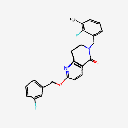 Cc1cccc(CN2CCc3nc(OCc4cccc(F)c4)ccc3C2=O)c1F